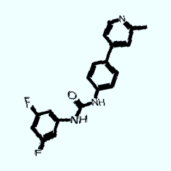 Cc1cc(-c2ccc(NC(=O)Nc3cc(F)cc(F)c3)cc2)ccn1